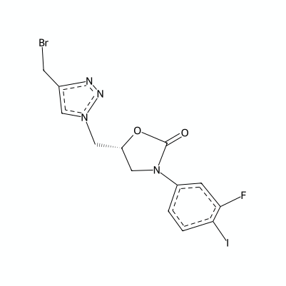 O=C1O[C@@H](Cn2cc(CBr)nn2)CN1c1ccc(I)c(F)c1